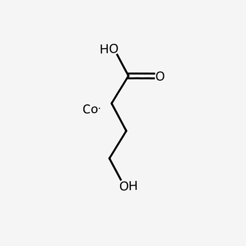 O=C(O)CCCO.[Co]